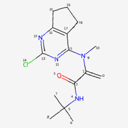 C=C(C(=O)NC(C)(C)C)N(C)c1nc(Cl)nc2c1CCC2